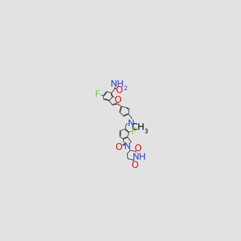 CN(Cc1ccc(-c2cc3cc(F)cc(C(N)=O)c3o2)cc1)Cc1ccc2c(c1F)CN(C1CCC(=O)NC1=O)C2=O